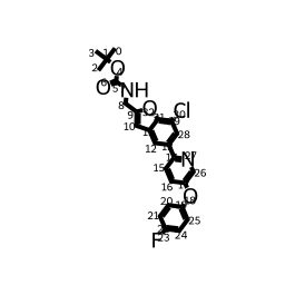 CC(C)(C)OC(=O)NCc1cc2cc(-c3ccc(Oc4ccc(F)cc4)cn3)cc(Cl)c2o1